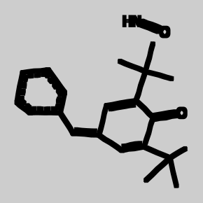 CC(C)(C)C1=CC(=Cc2ccccc2)C=C(C(C)(C)C)C1=O.N=O